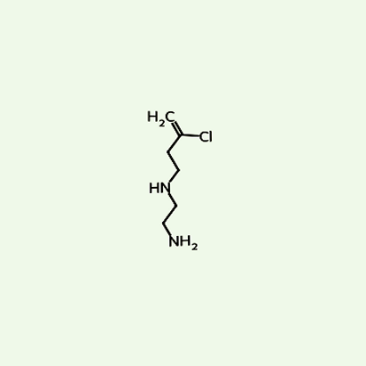 C=C(Cl)CCNCCN